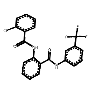 O=C(Nc1ccccc1C(=O)Nc1cccc(C(F)(F)F)c1)c1ccccc1Cl